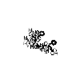 CC[C@H](C)[C@H](NC(=O)C1CCCCN1C)C(=O)N(C)[C@H](C[C@@H](O)c1nc(C(=O)N[C@@H](Cc2ccccc2)C[C@H](C)C(=O)O)cs1)C(C)C